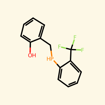 Oc1ccccc1CPc1ccccc1C(F)(F)F